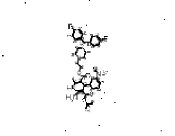 CC1=C(C(=O)OCCN2CCN(C(c3ccc(F)cc3)c3ccc(F)cc3)CC2)C(c2cccc([N+](=O)[O-])c2)C(C(=O)OC(C)C)=C(N)N1